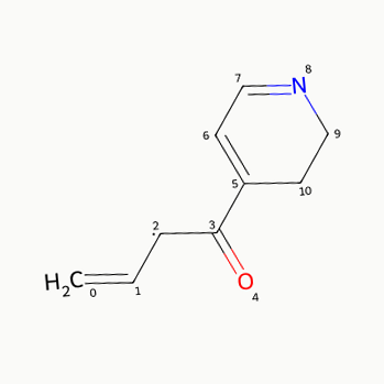 C=C[CH]C(=O)C1=CC=NCC1